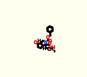 CC[C@@]1(C(=O)O)[C@H]2CCC(=O)[C@H]2CN1C(=O)OCc1ccccc1